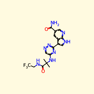 CC(C)(Nc1cnnc(-c2c[nH]c3ncc(C(N)=O)cc23)n1)C(=O)NCC(F)(F)F